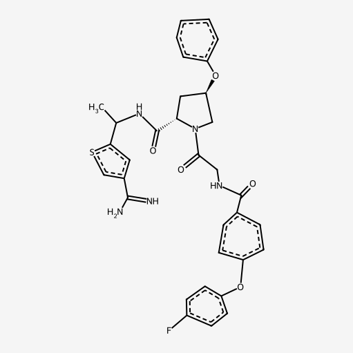 CC(NC(=O)[C@@H]1C[C@@H](Oc2ccccc2)CN1C(=O)CNC(=O)c1ccc(Oc2ccc(F)cc2)cc1)c1cc(C(=N)N)cs1